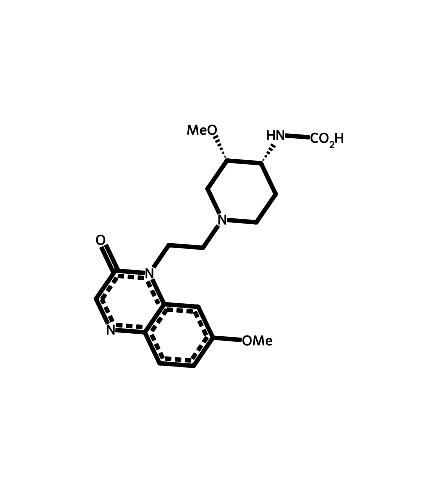 COc1ccc2ncc(=O)n(CCN3CC[C@@H](NC(=O)O)[C@@H](OC)C3)c2c1